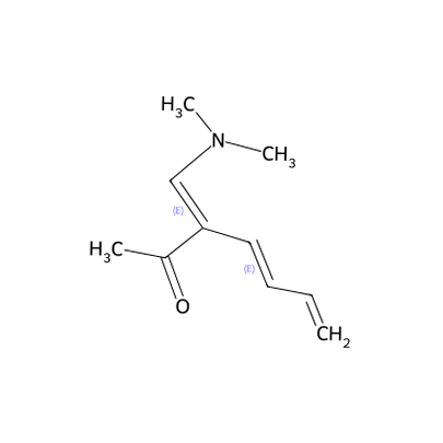 C=C/C=C/C(=C\N(C)C)C(C)=O